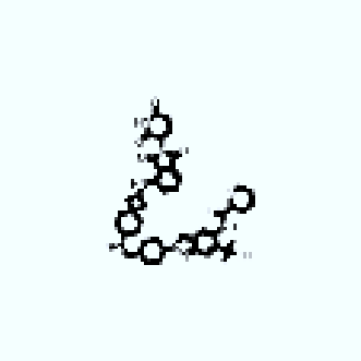 CN(CC1CCC(n2cc3cc(NC(=O)C4CCCCO4)c(C(C)(C)O)cc3n2)CC1)C1CCC2(CC1)CC(Nc1cccc3c1C(=O)N(C1CCC(=O)NC1=O)C3=O)C2